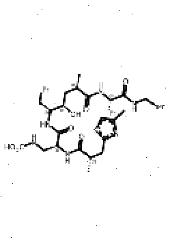 Cc1csc(C[C@H](C)C(=O)N[C@@H](CNC(=O)O)C(=O)N[C@@H](CC(C)C)[C@H](O)C[C@@H](C)C(=O)N[C@H](C(=O)NCC(C)C)C(C)C)n1